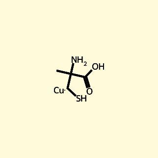 CC(N)(CS)C(=O)O.[Cu]